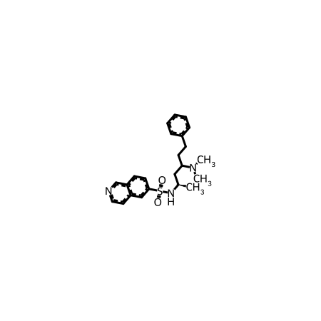 C[C@H](CC(CCc1ccccc1)N(C)C)NS(=O)(=O)c1ccc2cnccc2c1